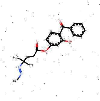 CC(C)(C)/N=N/C(C)(C#N)CCC(=O)Oc1ccc(C(=O)c2ccccc2)c(O)c1